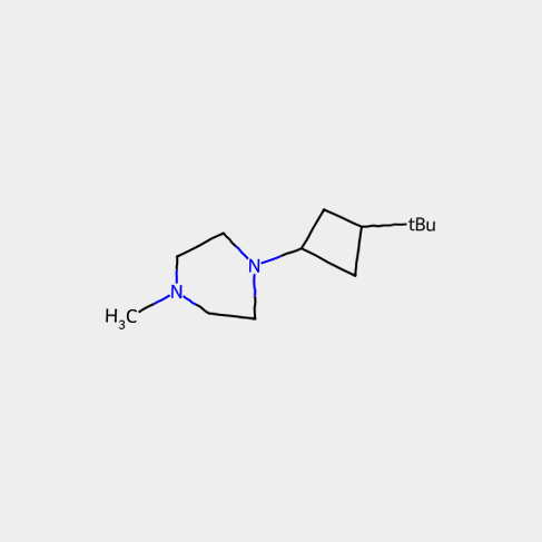 CN1CCN(C2CC(C(C)(C)C)C2)CC1